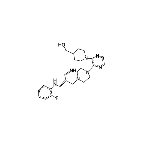 N=C/C(=C\Nc1ccccc1F)CN1CCN(c2nccnc2N2CCC(CO)CC2)CC1